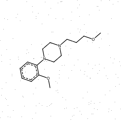 COCCCN1CCN(c2ccccc2OC)CC1